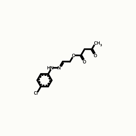 CC(=O)CC(=O)OCC=NNc1ccc(Cl)cc1